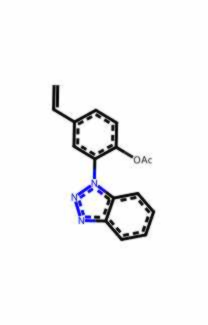 C=Cc1ccc(OC(C)=O)c(-n2nnc3ccccc32)c1